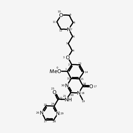 COc1c(OCCCN2CCOCC2)ccc2c(=O)n(C)c(NC(=O)c3cnccn3)nc12